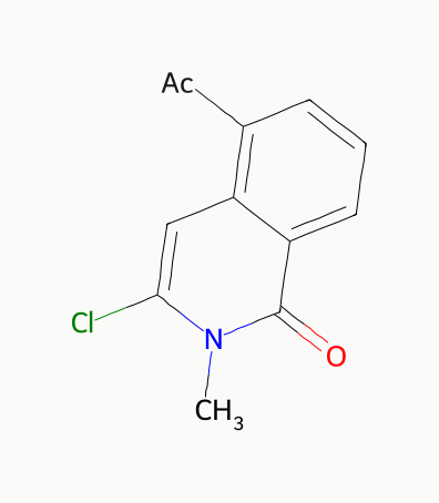 CC(=O)c1cccc2c(=O)n(C)c(Cl)cc12